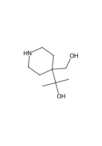 CC(C)(O)C1(CO)CCNCC1